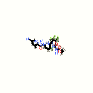 Cc1cc(C#N)cnc1C(=O)Nc1ccc(F)c([C@@]2(C)N=C(NC(=O)OC(C)(C)C)O[C@@H](C(F)(F)F)C2(F)F)n1